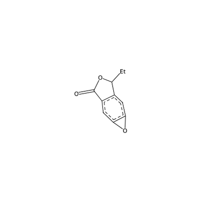 CCC1OC(=O)c2cc3c(cc21)O3